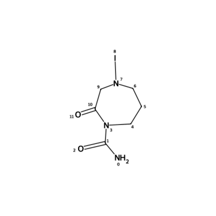 NC(=O)N1CCCN(I)CC1=O